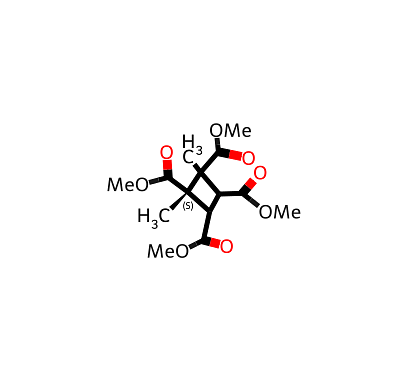 COC(=O)C1C(C(=O)OC)[C@](C)(C(=O)OC)C1(C)C(=O)OC